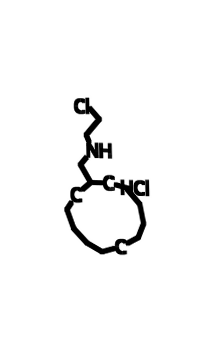 Cl.ClCCNCC1CCCCCCCCCCC1